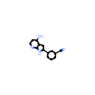 N#Cc1cccc(-c2cc3c(N)ccnc3[nH]2)c1